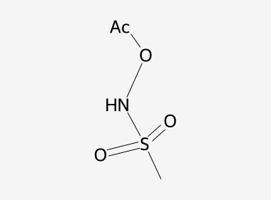 CC(=O)ONS(C)(=O)=O